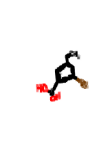 C=Cc1cc(Br)cc(B(O)O)c1